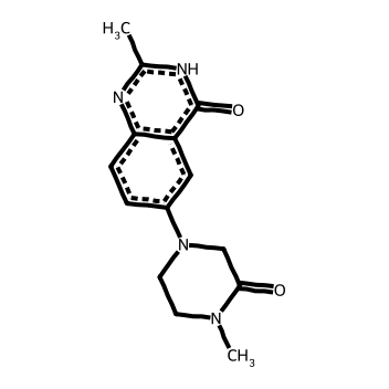 Cc1nc2ccc(N3CCN(C)C(=O)C3)cc2c(=O)[nH]1